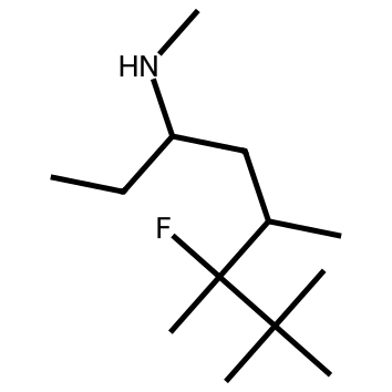 CCC(CC(C)C(C)(F)C(C)(C)C)NC